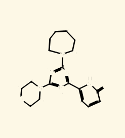 O=c1cccc(-c2nc(N3CCCCCC3)nc(N3CCOCC3)n2)[nH]1